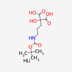 CC(C)(C)OC(=O)NCCCC(O)(C(=O)O)C(=O)O.[LiH]